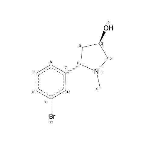 CN1C[C@H](O)C[C@H]1c1cccc(Br)c1